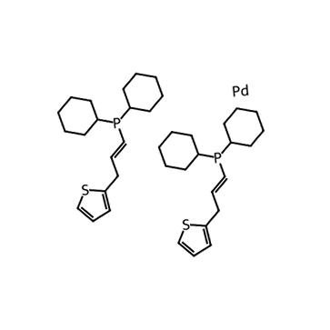 C(=CP(C1CCCCC1)C1CCCCC1)Cc1cccs1.C(=CP(C1CCCCC1)C1CCCCC1)Cc1cccs1.[Pd]